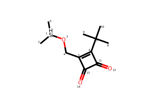 C[SiH](C)OCc1c(C(C)(C)C)c(=O)c1=O